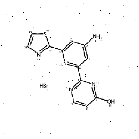 Br.Nc1cc(-c2nccc(O)n2)nc(-c2nccs2)c1